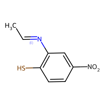 C/C=N/c1cc([N+](=O)[O-])ccc1S